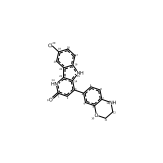 O=c1cc(-c2ccc3c(c2)OCCN3)c2[nH]c3ccc(Cl)cc3c2[nH]1